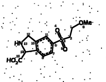 COCCS(=O)(=O)c1ccc2c(c1)CNC2C(=O)O